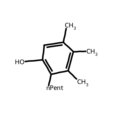 CCCCCc1c(O)cc(C)c(C)c1C